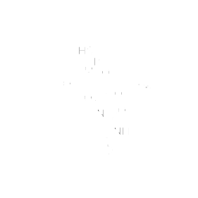 C#CCOC1C(OP(=O)(S)C(C)CC)C(COC(C)C)OC1n1ccc(=O)[nH]c1=O